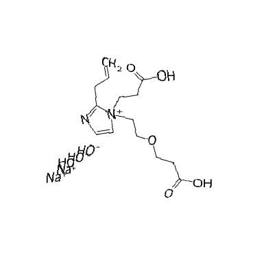 C=CCC1=NC=C[N+]1(CCOCCC(=O)O)CCC(=O)O.[Na+].[Na+].[OH-].[OH-].[OH-]